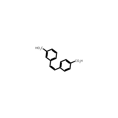 O=C(O)c1ccc(/C=C\c2cccc(C(=O)O)c2)cc1